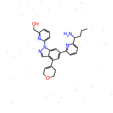 CCCC(N)c1cccc(-c2cc(C3=CCOCC3)c3cnn(-c4cccc(CO)n4)c3c2)n1